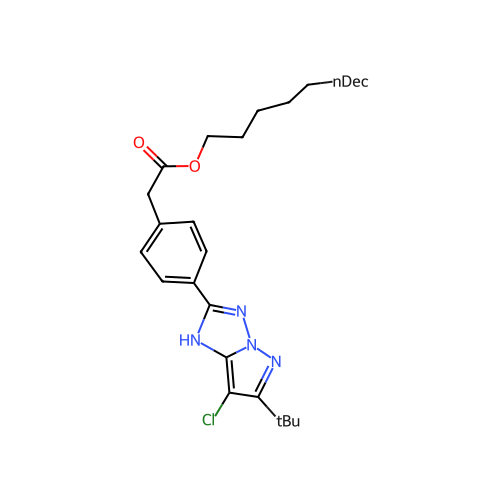 CCCCCCCCCCCCCCCOC(=O)Cc1ccc(-c2nn3nc(C(C)(C)C)c(Cl)c3[nH]2)cc1